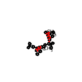 CC1(C)c2ccccc2-c2ccc(N(c3ccc(-c4cc(-c5ccc6c(c5)C(C)(C)c5cc(N(c7ccc(-c8ccc(-n9c%10ccccc%10c%10ccccc%109)cc8)cc7)c7cccc(-c8ccccc8)c7-c7ccccc7-c7ccccc7)ccc5-6)cc5c4c4ccccc4n5-c4ccccc4)cc3)c3cccc(-c4ccccc4)c3-c3ccccc3-c3ccccc3)cc21